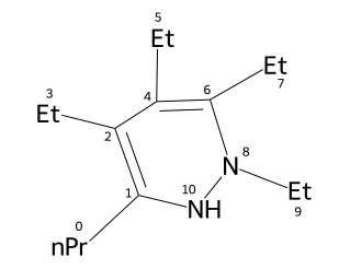 CCCC1=C(CC)C(CC)=C(CC)N(CC)N1